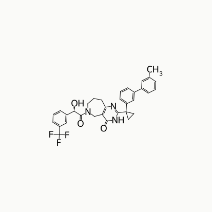 Cc1cccc(-c2cccc(C3(c4nc5c(c(=O)[nH]4)CN(C(=O)[C@H](O)c4cccc(C(F)(F)F)c4)CCC5)CC3)c2)c1